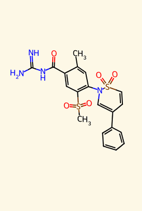 Cc1cc(N2C=C(c3ccccc3)C=CS2(=O)=O)c(S(C)(=O)=O)cc1C(=O)NC(=N)N